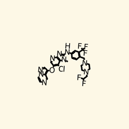 Cn1c(Nc2ccc(CN3CCN(CC(F)F)CC3)c(C(F)(F)F)c2)nc2ncc(Oc3cnn4ccncc34)c(Cl)c21